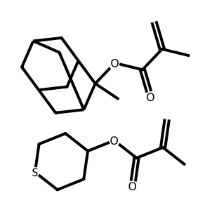 C=C(C)C(=O)OC1(C)C2CC3CC(C2)CC1C3.C=C(C)C(=O)OC1CCSCC1